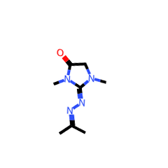 CC(C)=N/N=C1/N(C)CC(=O)N1C